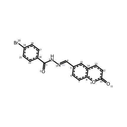 O=C(N/N=C/c1ccc2oc(=O)ccc2c1)c1ccc(Br)cc1